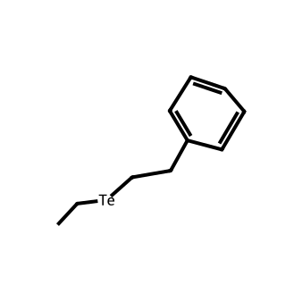 CC[Te]CCc1ccccc1